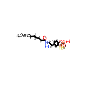 CCCCCCCCCCCCCCCC(=O)NCCc1ccc(OP(=O)(O)OS)cc1